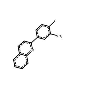 Cc1cc(-c2ccc3ccccc3n2)ccc1F